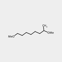 COCCCC[CH]CC(C)OC